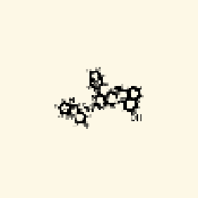 C#Cc1cccc2cc(O)cc(N3CCc4c(nc(OC[C@]56C[C@@H](F)CN5[C@H]5CCC[C@H]5C6)nc4N4CC5CCC(C4)N5)C3)c12